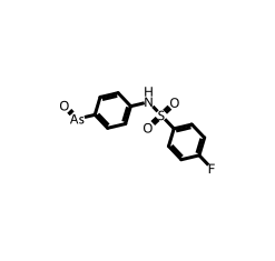 O=[As]c1ccc(NS(=O)(=O)c2ccc(F)cc2)cc1